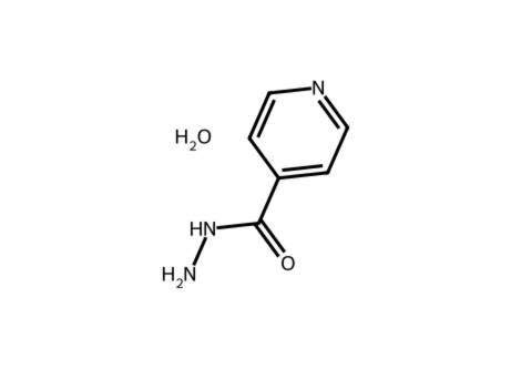 NNC(=O)c1ccncc1.O